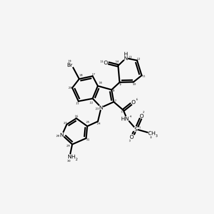 CS(=O)(=O)NC(=O)c1c(-c2ccc[nH]c2=O)c2cc(Br)ccc2n1Cc1ccnc(N)c1